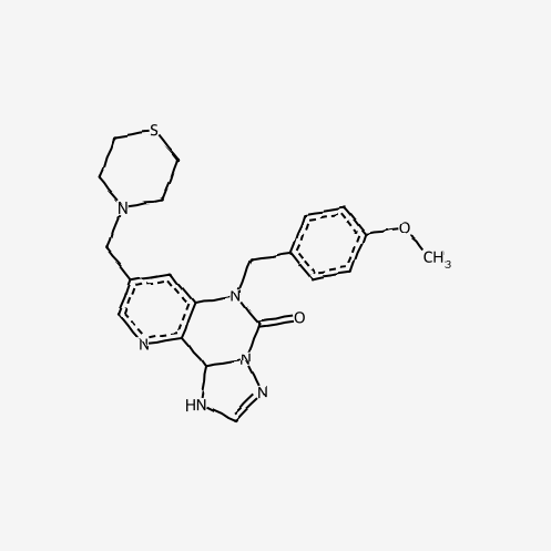 COc1ccc(CN2C(=O)N3N=CNC3c3ncc(CN4CCSCC4)cc32)cc1